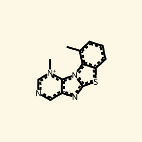 Cc1cccc2sc3nc4cnc[n+](C)c4n3c12